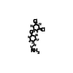 NCCc1ccc(Oc2cc(Cl)cc(Cl)c2)cc1